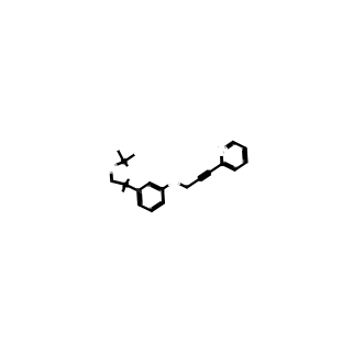 CCC1(c2cccc(OCC#Cc3ccccn3)c2)COC(C)(C)O1